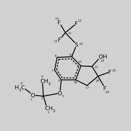 COC(C)(C)Oc1ccc(SC(F)(F)F)c2c1CC(F)(F)C2O